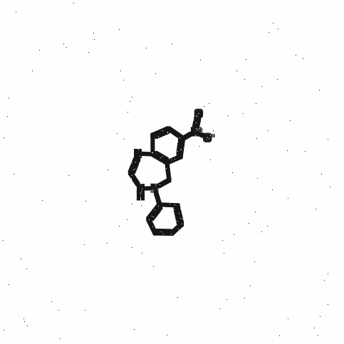 O=[N+]([O-])c1ccc2c(c1)CN(c1ccccc1)NC=N2